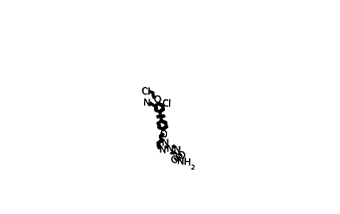 CC(C)(c1ccc(OCc2ccnc(-n3cnc(S(N)(=O)=O)c3)n2)cc1)c1cc(Cl)c(OCCCl)c(C#N)c1